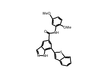 COc1ccc(OC)c(NC(=O)c2cc(-c3cc4ccccc4s3)c3[nH]ncc3c2)c1